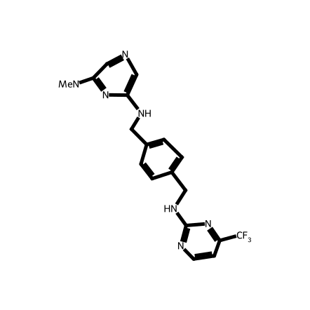 CNc1cncc(NCc2ccc(CNc3nccc(C(F)(F)F)n3)cc2)n1